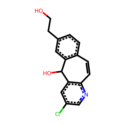 OCCc1ccc2c(c1)C(O)c1cc(Cl)cnc1C=C2